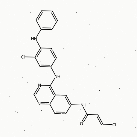 O=C(/C=C/Cl)Nc1ccc2ncnc(Nc3ccc(Nc4ccccc4)c(Cl)c3)c2c1